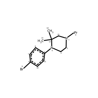 CC(C)N1CCN(c2ccc(Br)cc2)C(C)(C)C1